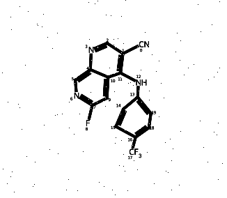 N#Cc1cnc2cnc(F)cc2c1Nc1ccc(C(F)(F)F)cc1